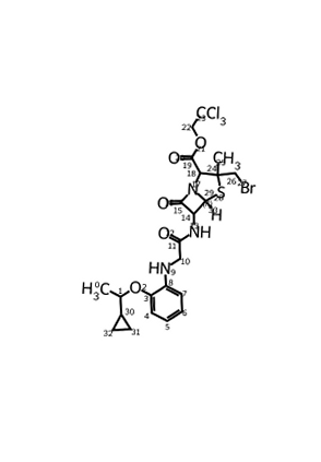 CC(Oc1ccccc1NCC(=O)NC1C(=O)N2C(C(=O)OCC(Cl)(Cl)Cl)C(C)(CBr)S[C@H]12)C1CC1